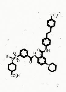 CCN(C1CCC(C(=O)O)CC1)S(=O)(=O)c1cccc(C(=O)Nc2ccc(N3CCCCC3)cc2C(=O)Nc2ccc(CCc3ccc(C(=O)O)cc3)cc2)c1